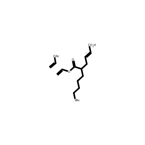 C=COC(=O)C(C/C=C/C(=O)O)CCCCC(C)(C)C.C=COC(C)=O